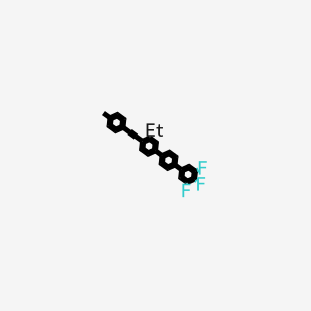 CCc1cc(-c2ccc(-c3cc(F)c(F)c(F)c3)cc2)ccc1C#Cc1ccc(C)cc1